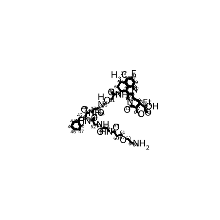 CC[C@@]1(O)C(=O)OCc2c1cc1n(c2=O)Cc2c-1nc1cc(F)c(C)c3c1c2[C@@H](NC(=O)COCNC(=O)CNC(=O)[C@H](Cc1ccccc1)NC(=O)CNC(=O)CNC(=O)CCOCCN)CC3